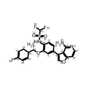 C[C@H](Oc1cc(-c2coc3ccnc(N)c23)ccc1NS(=O)(=O)C(F)F)C1C=CC(F)=CC1